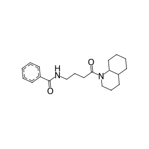 O=C(NCCCC(=O)N1CCCC2CCCCC21)c1ccccc1